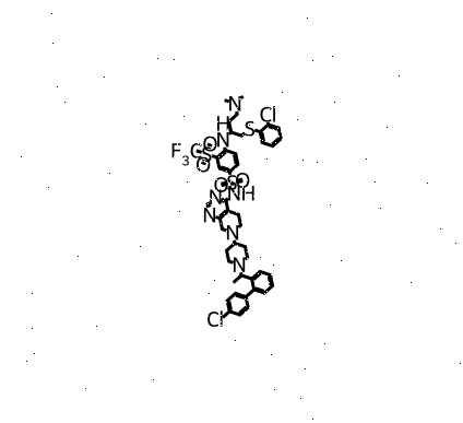 CC(c1ccccc1-c1ccc(Cl)cc1)N1CCC(N2CCc3c(ncnc3NS(=O)(=O)c3ccc(NC(CCN(C)C)CSc4ccccc4Cl)c(S(=O)(=O)C(F)(F)F)c3)C2)CC1